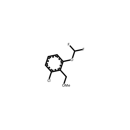 COCc1c(Cl)cccc1OC(F)F